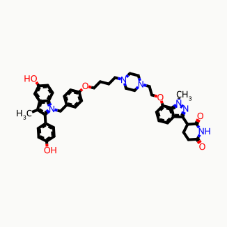 Cc1c(-c2ccc(O)cc2)n(Cc2ccc(OCCCCN3CCN(CCOc4cccc5c(C6CCC(=O)NC6=O)nn(C)c45)CC3)cc2)c2ccc(O)cc12